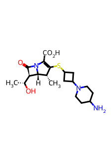 C[C@@H](O)[C@H]1C(=O)N2C(C(=O)O)=C(SC3CC(N4CCC(N)CC4)C3)[C@H](C)[C@H]12